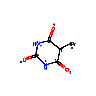 CC(C)C1C(=O)NC(=O)NC1=O